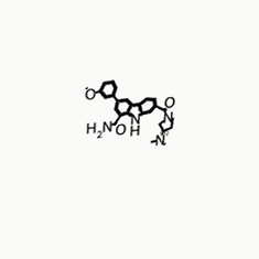 COc1cccc(-c2cc(C(N)=O)c3[nH]c4cc(C(=O)N5CC[C@@H](N(C)C)C5)ccc4c3c2)c1